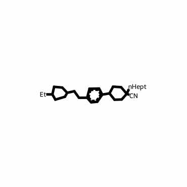 CCCCCCCC1(C#N)CCC(c2ccc(CCC3CCC(CC)CC3)cc2)CC1